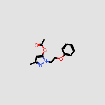 CC(=O)Oc1cc(C)nn1CCOc1ccccc1